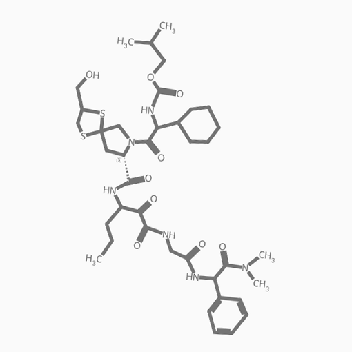 CCCC(NC(=O)[C@@H]1CC2(CN1C(=O)C(NC(=O)OCC(C)C)C1CCCCC1)SCC(CO)S2)C(=O)C(=O)NCC(=O)NC(C(=O)N(C)C)c1ccccc1